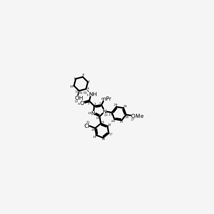 CCCc1c(C(=O)N[C@H]2CCCC[C@@H]2O)nc(-c2ccccc2Cl)n1-c1ccc(OC)cc1